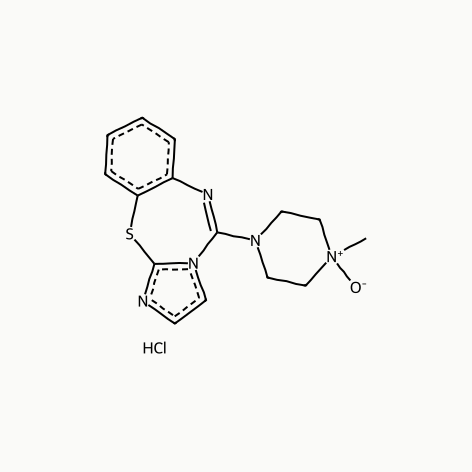 C[N+]1([O-])CCN(C2=Nc3ccccc3Sc3nccn32)CC1.Cl